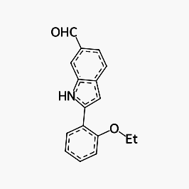 CCOc1ccccc1-c1cc2ccc(C=O)cc2[nH]1